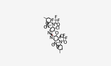 Cc1ccc(N(C(=O)C(F)(F)F)c2c([N+](=O)[O-])cc(C#N)c(Oc3c(C#N)cc([N+](=O)[O-])c(N(C(=O)C(F)(F)F)c4ccc(C)cc4)c3Cl)c2Cl)cc1